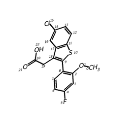 COc1cc(F)ccc1-c1sc2ccc(Cl)cc2c1CC(=O)O